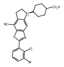 N#Cc1c2c(cc3nc(-c4cccc(Br)c4Cl)oc13)[C@H](C1CCC(C(=O)O)CC1)CC2